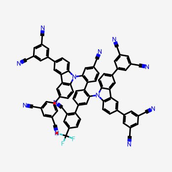 N#Cc1cc(C#N)cc(-c2ccc3c(c2)c2cc(-c4cc(C#N)cc(C#N)c4)ccc2n3-c2cc(C#N)ccc2-c2ccc(-c3ccc(C(F)(F)F)cc3C#N)cc2-n2c3ccc(-c4cc(C#N)cc(C#N)c4)cc3c3cc(-c4cc(C#N)cc(C#N)c4)ccc32)c1